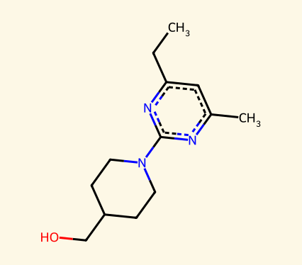 CCc1cc(C)nc(N2CCC(CO)CC2)n1